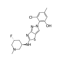 Cc1cc(O)c(-n2cc3sc(N[C@@H]4C[C@@H](F)CN(C)C4)nc3n2)c(Cl)c1